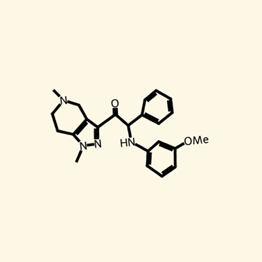 COc1cccc(NC(C(=O)c2nn(C)c3c2CN(C)CC3)c2ccccc2)c1